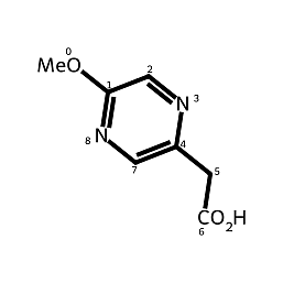 COc1cnc(CC(=O)O)cn1